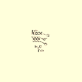 O.O.O=C([O-])[O-].O=C([O-])[O-].O=C([O-])[O-].[Er+3].[Er+3]